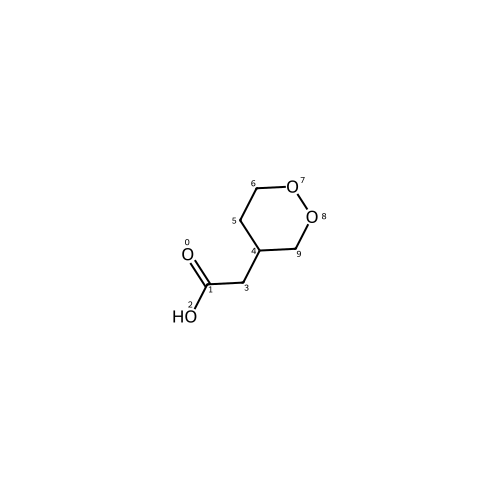 O=C(O)CC1CCOOC1